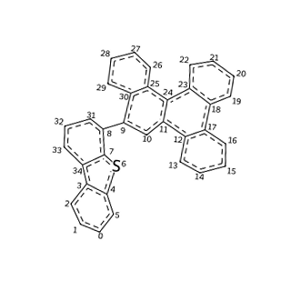 c1ccc2c(c1)sc1c(-c3cc4c5ccccc5c5ccccc5c4c4ccccc34)cccc12